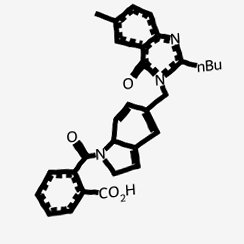 CCCCc1nc2ccc(C)cc2c(=O)n1CC1=CC2=CCN(C(=O)c3ccccc3C(=O)O)C2C=C1